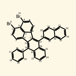 Brc1ccc2c3c(ccc(Br)c13)-c1c-2c(-c2ccccc2)c2ccccc2c1-c1ccc2ccccc2c1